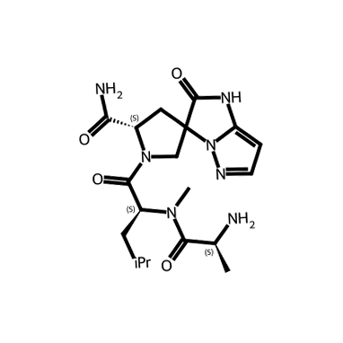 CC(C)C[C@@H](C(=O)N1CC2(C[C@H]1C(N)=O)C(=O)Nc1ccnn12)N(C)C(=O)[C@H](C)N